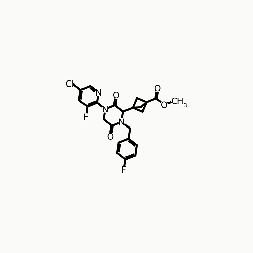 COC(=O)C12CC(C3C(=O)N(c4ncc(Cl)cc4F)CC(=O)N3Cc3ccc(F)cc3)(C1)C2